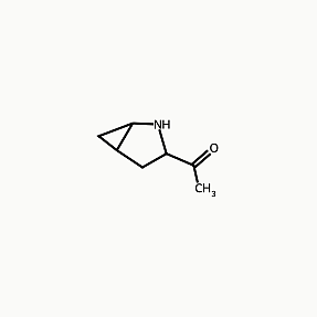 CC(=O)C1CC2CC2N1